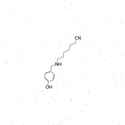 N#CCCCCCCNCc1ccc(O)cc1